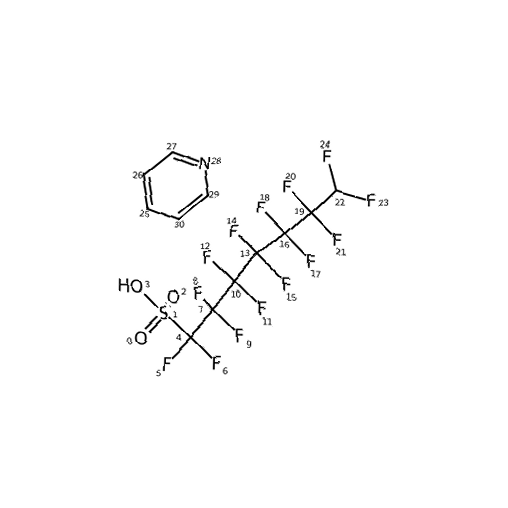 O=S(=O)(O)C(F)(F)C(F)(F)C(F)(F)C(F)(F)C(F)(F)C(F)(F)C(F)F.c1ccncc1